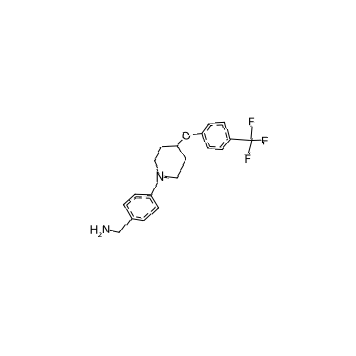 NCc1ccc(N2CCC(Oc3ccc(C(F)(F)F)cc3)CC2)cc1